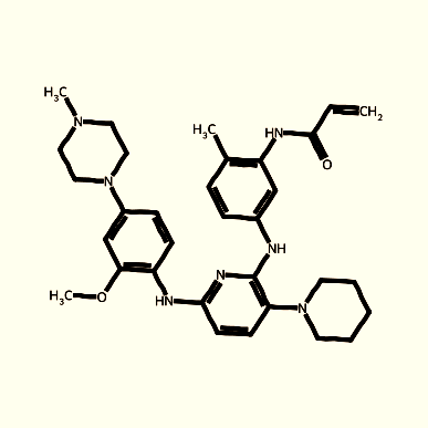 C=CC(=O)Nc1cc(Nc2nc(Nc3ccc(N4CCN(C)CC4)cc3OC)ccc2N2CCCCC2)ccc1C